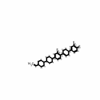 C=CC1CCC(C2CCC(c3ccc(C4=CCC(c5ccc(F)c(F)c5)CC4)c(F)c3)CC2)CC1